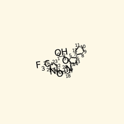 OCCOc1cc(-c2ccccc2)ccc1N1CCC(Oc2ccc(C(F)(F)F)cn2)C1